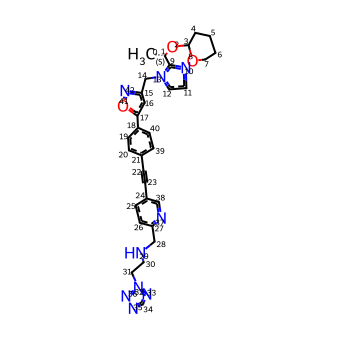 C[C@H](OC1CCCCO1)c1nccn1Cc1cc(-c2ccc(C#Cc3ccc(CNCCn4ncnn4)nc3)cc2)on1